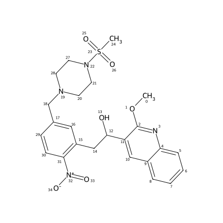 COc1nc2ccccc2cc1C(O)Cc1cc(CN2CCN(S(C)(=O)=O)CC2)ccc1[N+](=O)[O-]